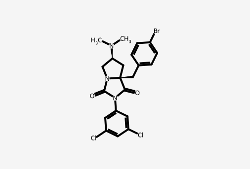 CN(C)[C@@H]1CN2C(=O)N(c3cc(Cl)cc(Cl)c3)C(=O)[C@@]2(Cc2ccc(Br)cc2)C1